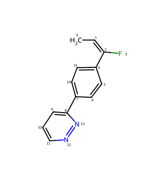 [CH2]/C=C(/F)c1ccc(-c2cccnn2)cc1